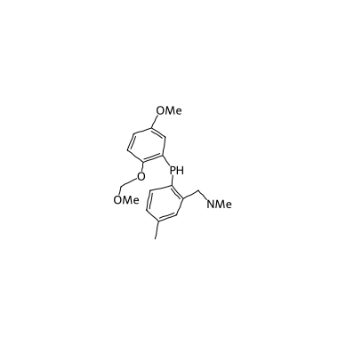 CNCc1cc(C)ccc1Pc1cc(OC)ccc1OCOC